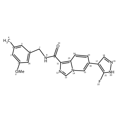 COc1cc(C)cc(CNC(=O)c2ncn3cc(-c4cn[nH]c4F)ccc23)c1